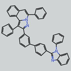 c1ccc(-c2c(-c3cccc(-c4ccc(-c5nc6ccccc6n5-c5ccccc5)cc4)c3)nn3c(-c4ccccc4)cc4ccccc4c23)cc1